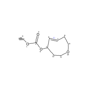 CC(C)(C)OC(=O)OC1/C=C/CCOCC1